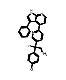 NCC(O)(c1ccc(Cl)cc1)c1ccc(-c2ccnc3[nH]cc(-c4ccccc4)c23)nc1